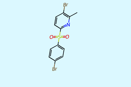 Cc1nc(S(=O)(=O)c2ccc(Br)cc2)ccc1Br